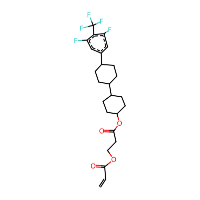 C=CC(=O)OCCC(=O)OC1CCC(C2CCC(c3cc(F)c(C(F)(F)F)c(F)c3)CC2)CC1